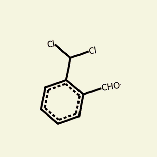 O=[C]c1ccccc1C(Cl)Cl